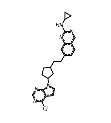 Clc1ncnc2c1ccn2C1CCC(CCc2ccc3cnc(NC4CC4)nc3c2)C1